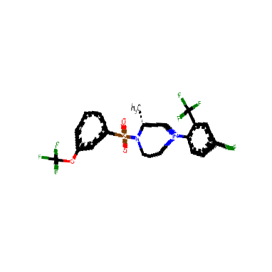 C[C@@H]1CN(c2ccc(F)cc2C(F)(F)F)CCN1S(=O)(=O)c1cccc(OC(F)(F)F)c1